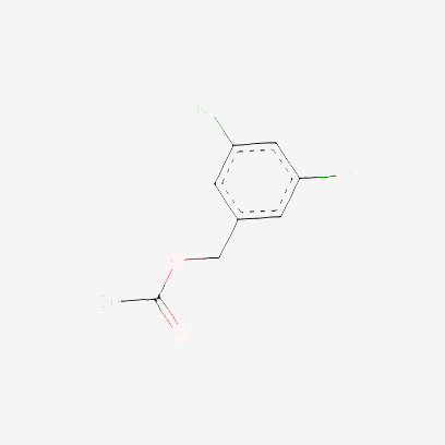 CCCCC(=O)OCc1cc(Br)cc(Br)c1